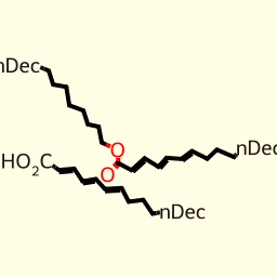 CCCCCCCCCCCCCC=CC=CC=CC(=O)O.CCCCCCCCCCCCCC=CC=CC=CC(=O)OCCCCCCCCCCCCCCCCCC